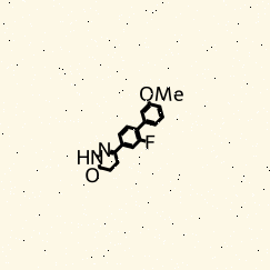 COc1cccc(-c2ccc(C3=NNC(=O)CC3)cc2F)c1